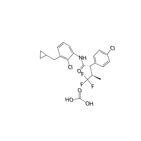 C[C@H]([C@H](C(=O)Nc1cccc(CC2CC2)c1Cl)c1ccc(Cl)cc1)C(F)(F)F.O=C(O)O